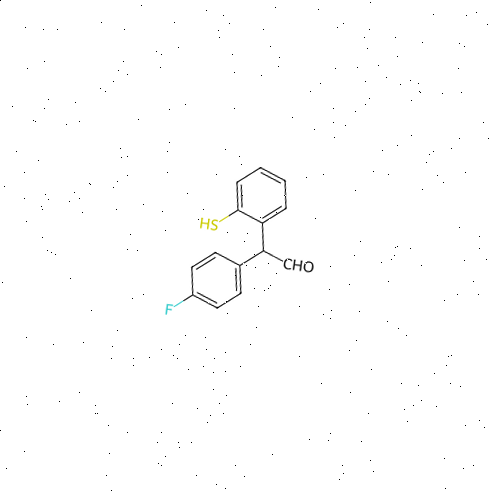 O=CC(c1ccc(F)cc1)c1ccccc1S